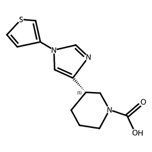 O=C(O)N1CCC[C@H](c2cn(-c3ccsc3)cn2)C1